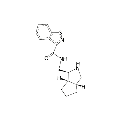 O=C(NC[C@H]1NC[C@@H]2CCC[C@@H]21)c1nsc2ccccc12